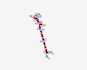 CC(C)N[C@@H](CCC(=O)N[C@@H](CCC(=O)NCCOCCOCC(=O)NCCOCCOCC(=O)C(C)C)C(=O)O)C(=O)O